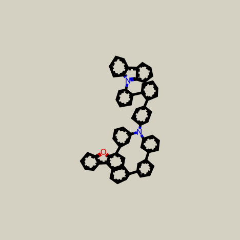 c1ccc(-c2cccc(-c3cccc(N(c4ccc(-c5ccccc5-c5ccccc5-n5c6ccccc6c6ccccc65)cc4)c4cccc(-c5cccc6c5oc5ccccc56)c4)c3)c2)cc1